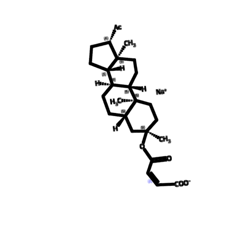 CC(=O)[C@H]1CC[C@H]2[C@@H]3CC[C@H]4C[C@](C)(OC(=O)/C=C\C(=O)[O-])CC[C@]4(C)[C@H]3CC[C@]12C.[Na+]